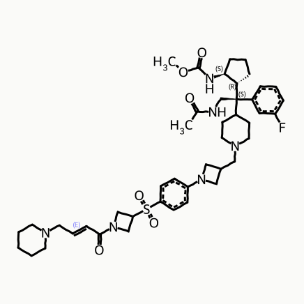 COC(=O)N[C@H]1CCC[C@@H]1[C@](CNC(C)=O)(c1cccc(F)c1)C1CCN(CC2CN(c3ccc(S(=O)(=O)C4CN(C(=O)/C=C/CN5CCCCC5)C4)cc3)C2)CC1